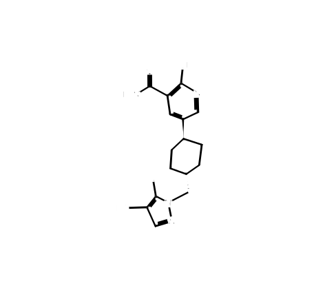 CCc1c(C)cnn1C[C@H]1CC[C@H](c2cnc(C)c(C(N)=O)c2)CC1